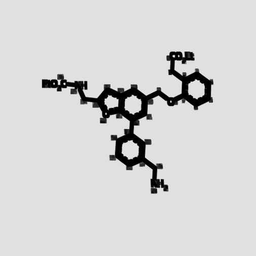 CCOC(=O)Cc1ccccc1OCc1cc(-c2cccc(CN)c2)c2oc(CNC(=O)OCC)cc2c1